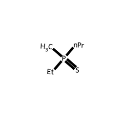 CCCP(C)(=S)CC